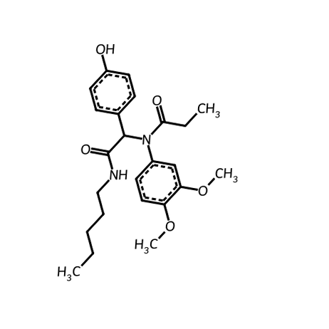 CCCCCNC(=O)C(c1ccc(O)cc1)N(C(=O)CC)c1ccc(OC)c(OC)c1